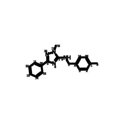 Cc1ccc(CNc2nc(-c3ccccc3)nn2C)cc1